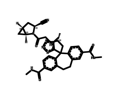 CNC(=O)c1ccc2c(c1)CCc1cc(C(=O)NC)ccc1C2(C[C@@H](C)NCC(=O)N1[C@H](C#N)C[C@@H]2C[C@@H]21)c1nnnn1C